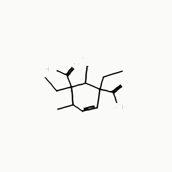 CCC1(C(=O)O)C=CC(C)C(CC)(C(=O)O)C1C